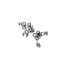 CN(C(=O)C1(CC(=O)O)Cc2cc(F)c(F)cc2C1)c1nc(-c2ccc(OCCCN3CCCC3)c(S(=O)(=O)N3CCC(N(C)C)CC3)c2)cs1